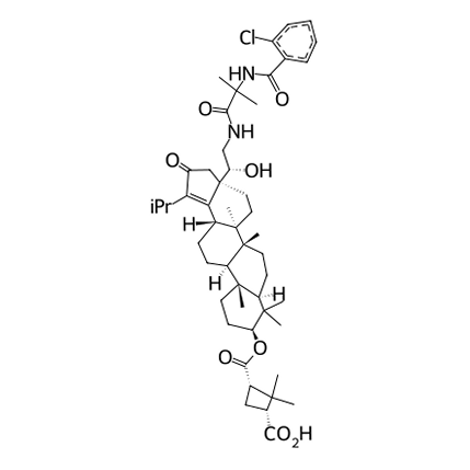 CC(C)C1=C2[C@H]3CC[C@@H]4[C@@]5(C)CC[C@H](OC(=O)[C@H]6C[C@@H](C(=O)O)C6(C)C)C(C)(C)[C@@H]5CC[C@@]4(C)[C@]3(C)CC[C@@]2([C@@H](O)CNC(=O)C(C)(C)NC(=O)c2ccccc2Cl)CC1=O